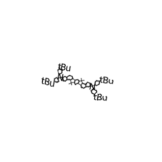 CC(C)(C)c1ccc(N(c2ccc(C(C)(C)C)cc2)c2ccc3c4c(ccc3c2)-c2cc3c(cc2C4(C)C)-c2ccc4cc(N(c5ccc(C(C)(C)C)cc5)c5ccc(C(C)(C)C)cc5)ccc4c2C3(C)C)cc1